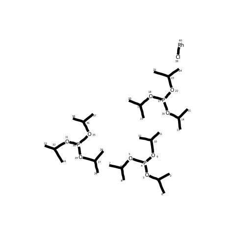 CC(C)OP(OC(C)C)OC(C)C.CC(C)OP(OC(C)C)OC(C)C.CC(C)OP(OC(C)C)OC(C)C.[Cl][Rh]